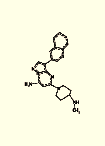 CNC1CCN(c2cc(N)n3ncc(-c4cnc5ccccc5c4)c3n2)CC1